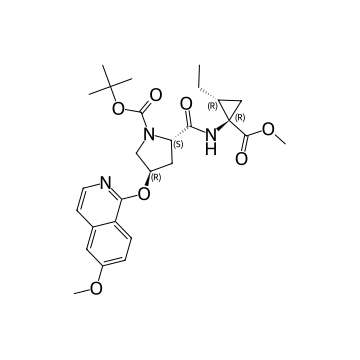 CC[C@@H]1C[C@]1(NC(=O)[C@@H]1C[C@@H](Oc2nccc3cc(OC)ccc23)CN1C(=O)OC(C)(C)C)C(=O)OC